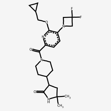 CC1(C)CC(C2CCN(C(=O)c3ccc(N4CC(F)(F)C4)c(OCC4CC4)n3)CC2)C(=O)N1